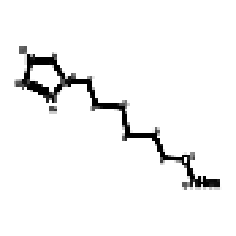 CCCCCCOCCCCCCn1[c]nnn1